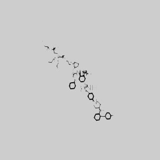 CCCN(CCC)[C@@H](CCC(=O)OCC[Si](C)(C)C)C(=O)OCCN1CCC[C@H]1C[C@H](CSc1ccccc1)Nc1ccc(S(=O)(=O)NC(=O)c2ccc(N3CCC([C@@H](C)c4ccccc4-c4ccc(Cl)cc4)CC3)cc2)cc1S(C)(=O)=O